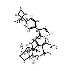 CC(=O)c1c([C@H]2C[C@H]3CC[C@@H](C2)N3C(=O)CO)nc2c(-c3ccc(C4(O)CCC4)nc3)cnn2c1N